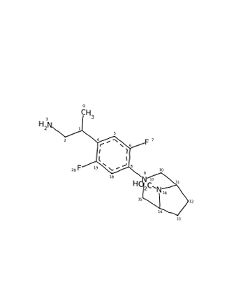 CC(CN)c1cc(F)c(N2CC3CCC(C2)N3C(=O)O)cc1F